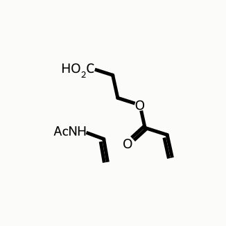 C=CC(=O)OCCC(=O)O.C=CNC(C)=O